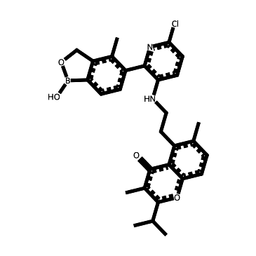 Cc1ccc2oc(C(C)C)c(C)c(=O)c2c1CCNc1ccc(Cl)nc1-c1ccc2c(c1C)COB2O